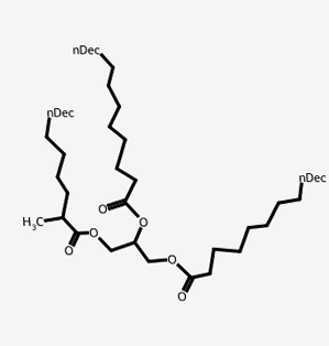 CCCCCCCCCCCCCCCCCC(=O)OCC(COC(=O)C(C)CCCCCCCCCCCCCC)OC(=O)CCCCCCCCCCCCCCCCC